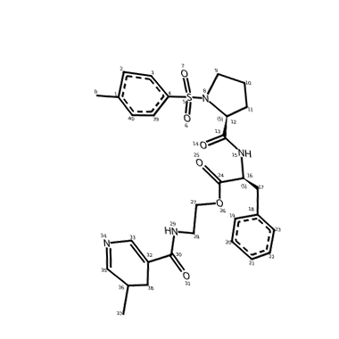 Cc1ccc(S(=O)(=O)N2CCC[C@H]2C(=O)N[C@@H](Cc2ccccc2)C(=O)OCCNC(=O)C2=CN=CC(C)C2)cc1